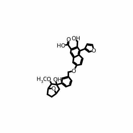 COC1C2CCC(CC1(O)c1cccc(COc3ccc4c(-c5ccoc5)c(CO)c(C(=O)O)cc4c3)c1)O2